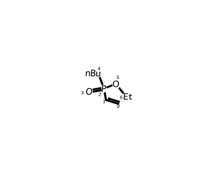 C=CP(=O)(CCCC)OCC